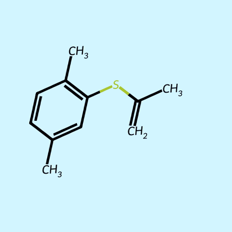 C=C(C)Sc1cc(C)ccc1C